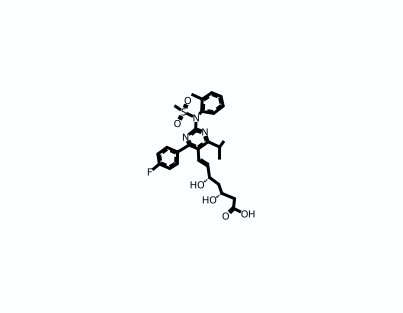 Cc1ccccc1N(c1nc(-c2ccc(F)cc2)c(/C=C/[C@@H](O)C[C@@H](O)CC(=O)O)c(C(C)C)n1)S(C)(=O)=O